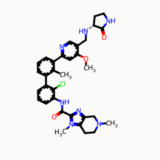 COc1cc(-c2cccc(-c3cccc(NC(=O)c4nc5c(n4C)CCN(C)C5)c3Cl)c2C)ncc1CN[C@@H]1CCNC1=O